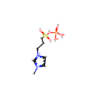 C[n+]1ccn(CCCS(=O)(=O)OP(=O)(O)O)c1